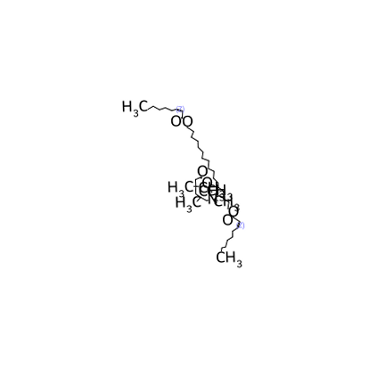 CCCCCC/C=C\C(=O)OCCCCCCCCC(CCCCCCCCOC(=O)/C=C\CCCCCC)OC(=O)CC(C)(C)CC(C)(C)CN(C)C